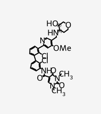 COc1cc(-c2cccc(-c3cccc(NC(=O)c4cn(C)c(=O)n(C)c4=O)c3Cl)c2Cl)ncc1CN[C@@H]1CCOC[C@@H]1O